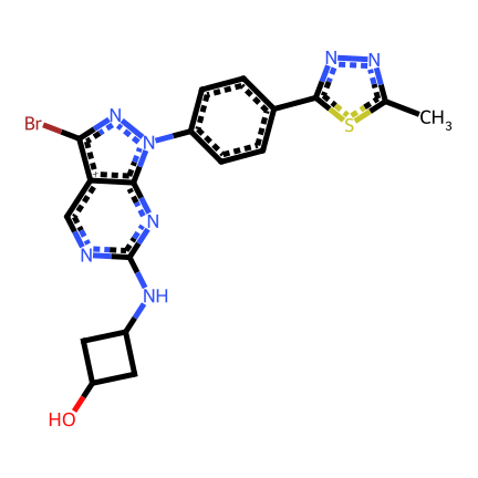 Cc1nnc(-c2ccc(-n3nc(Br)c4cnc(NC5CC(O)C5)nc43)cc2)s1